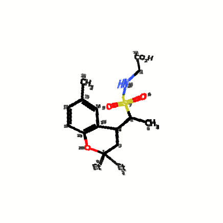 CCC1(CC)CC(C(C)S(=O)(=O)NCC(=O)O)c2cc(C)ccc2O1